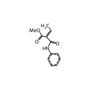 C/C=C(/C(=O)Nc1ccccc1)C(=O)OC